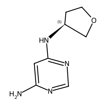 Nc1cc(N[C@H]2CCOC2)ncn1